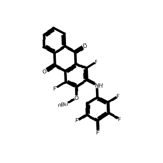 CCCCOc1c(F)c2c(c(F)c1Nc1cc(F)c(F)c(F)c1F)C(=O)c1ccccc1C2=O